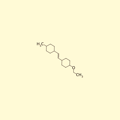 CCOC1CCC(C=CC2CCC(C)CC2)CC1